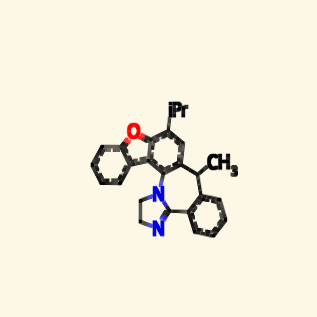 CC(C)c1cc2c(c3c1oc1ccccc13)N1CCN=C1c1ccccc1C2C